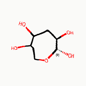 OC1CO[C@@H](O)C(O)CC1O